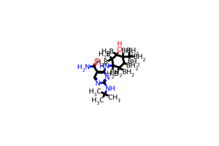 BC1C(B)(B)C(B)(Nc2nc(NC(C)(C)C)ncc2C(N)=O)C(B)(B)C(B)(O)C1(B)C(B)(B)B